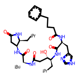 CC[C@H](C)[C@H](NC(=O)C[C@H](O)[C@H](CC(C)C)NC(=O)[C@H](Cc1c[nH]cn1)NC(=O)CCCc1ccccc1)C(=O)N[C@H]1CC(=O)N[C@H]1CC(C)C